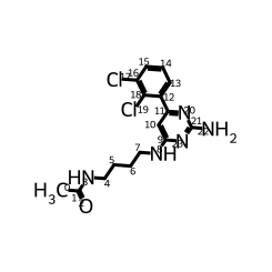 CC(=O)NCCCCNc1cc(-c2cccc(Cl)c2Cl)nc(N)n1